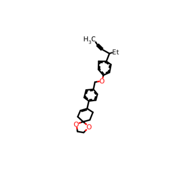 CC#CC(CC)c1ccc(OCc2ccc(C3=CCC4(CC3)OCCO4)cc2)cc1